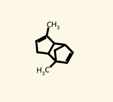 CC1=CCC2C1C1C=CC2(C)C1